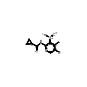 Cc1c(Br)cnc(NC(=O)C2CC2)c1[N+](=O)[O-]